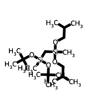 CC(C)CO[Si](C)(C[Si](C)(OC(C)(C)C)OC(C)(C)C)OCC(C)C